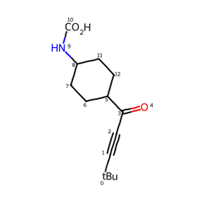 CC(C)(C)C#CC(=O)C1CCC(NC(=O)O)CC1